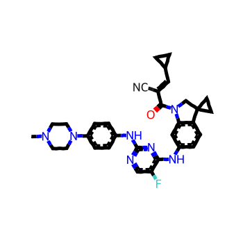 CN1CCN(c2ccc(Nc3ncc(F)c(Nc4ccc5c(c4)N(C(=O)C(C#N)=CC4CC4)CC54CC4)n3)cc2)CC1